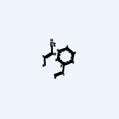 C=Cc1ccccc1.CC=CCC